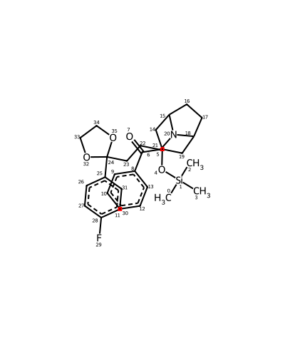 C[Si](C)(C)OC1(C(=O)c2ccccc2)CC2CCC(C1)N2CCCC1(c2ccc(F)cc2)OCCO1